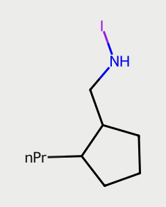 CCCC1CCCC1CNI